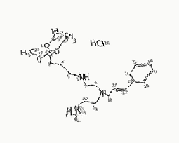 CO[Si](CCCNCCN(CC=Cc1ccccc1)CCN)(OC)OC.Cl